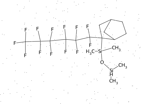 C[SiH](C)O[Si](C)(C)C1(C(F)(F)C(F)(F)C(F)(F)C(F)(F)C(F)(F)C(F)(F)F)CC2CCC1C2